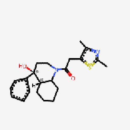 Cc1nc(C)c(CC(=O)N2CC[C@@](O)(c3ccccc3)[C@H]3CCCCC32)s1